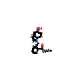 COC(=O)c1ccccc1Cn1ccc2c1=CCC(O)C=2